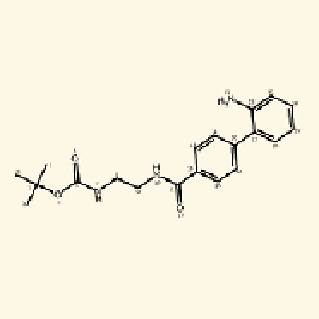 CC(C)(C)OC(=O)NCCNC(=O)c1ccc(-c2ccccc2N)cc1